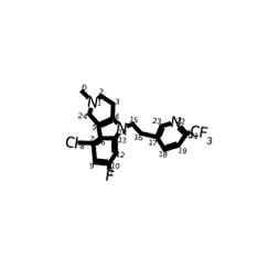 CN1CCc2c(c3c(Cl)cc(F)cc3n2CCc2ccc(C(F)(F)F)nc2)C1